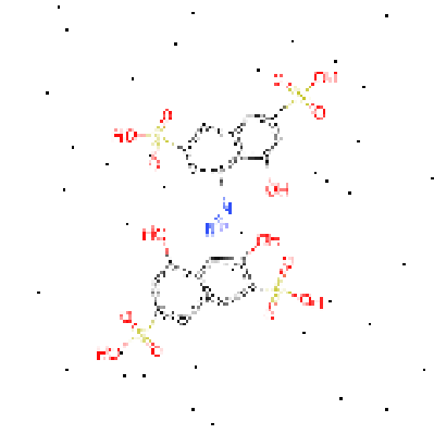 O=S(=O)(O)c1cc(O)c2c(/N=N/c3c(O)c(S(=O)(=O)O)cc4cc(S(=O)(=O)O)cc(O)c34)cc(S(=O)(=O)O)cc2c1